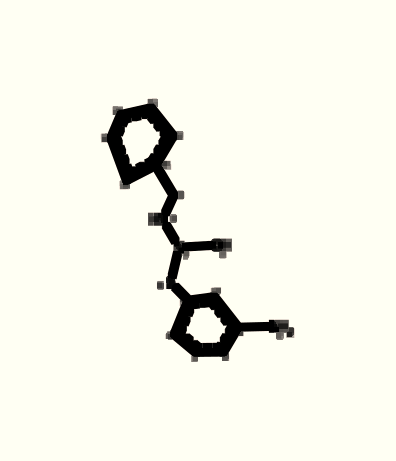 Nc1cccc(SN(O)NCc2ccccc2)c1